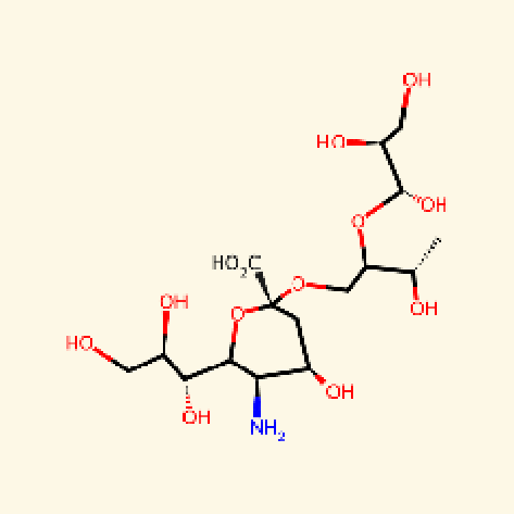 C[C@H](O)C(CO[C@]1(C(=O)O)C[C@@H](O)[C@@H](N)C([C@H](O)[C@H](O)CO)O1)O[C@@H](O)[C@@H](O)CO